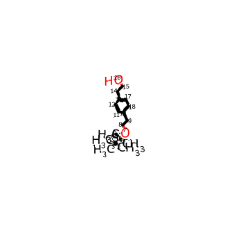 CC(C)(C)[Si](C)(C)OCCc1ccc(CCO)cc1